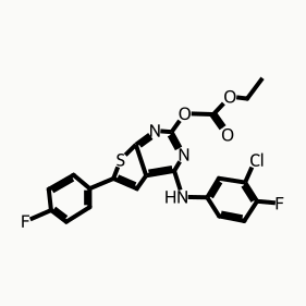 CCOC(=O)Oc1nc(Nc2ccc(F)c(Cl)c2)c2cc(-c3ccc(F)cc3)sc2n1